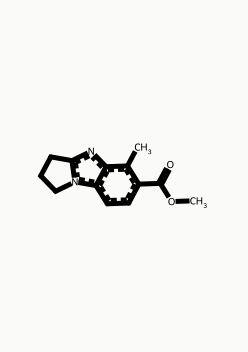 COC(=O)c1ccc2c(nc3n2CCC3)c1C